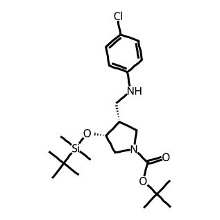 CC(C)(C)OC(=O)N1C[C@@H](CNc2ccc(Cl)cc2)[C@@H](O[Si](C)(C)C(C)(C)C)C1